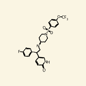 O=c1ccc(C(CN=C2CCN(S(=O)(=O)c3ccc(OC(F)(F)F)cc3)CC2)c2ccc(F)cc2)c[nH]1